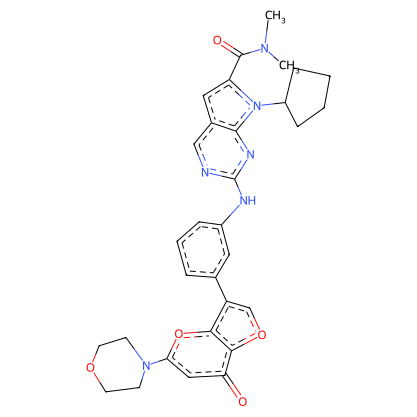 CN(C)C(=O)c1cc2cnc(Nc3cccc(-c4coc5c(=O)cc(N6CCOCC6)oc45)c3)nc2n1C1CCCC1